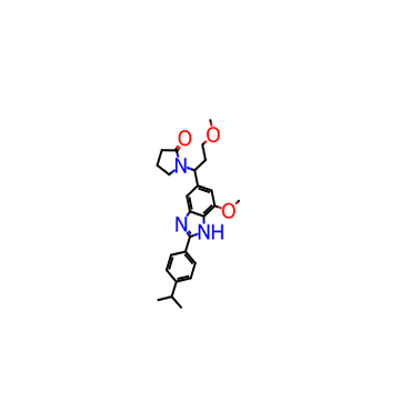 COCCC(c1cc(OC)c2[nH]c(-c3ccc(C(C)C)cc3)nc2c1)N1CCCC1=O